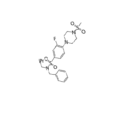 CC(C)CN(Cc1ccccc1)S(=O)(=O)c1ccc(N2CCN(S(C)(=O)=O)CC2)c(F)c1